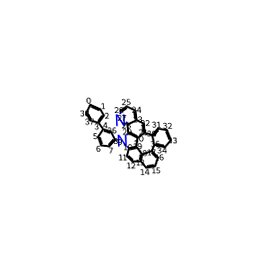 c1ccc(-c2cccc(-n3c4ccc5cccc6c5c4c4c(cc5cccnc5c43)-c3ccccc3-6)c2)cc1